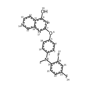 CN(c1ccc(Oc2nc(O)c3ccncc3n2)cc1)c1ccc(F)cc1F